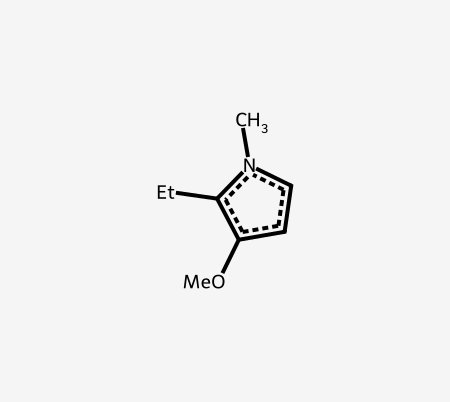 CCc1c(OC)ccn1C